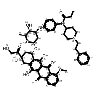 CCC(=O)N(c1ccccc1)C1CCN(CCc2ccccc2)CC1.COc1cccc2c1C(=O)c1c(O)c3c(c(O)c1C2=O)C[C@@](O)(C(=O)CO)C[C@@H]3O[C@H]1C[C@H](N)[C@H](O)[C@H](C)O1